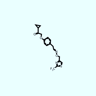 O=C(COc1ccc(CC=NOCc2csc(C(F)(F)F)n2)cc1)C1CC1